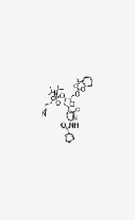 CSc1ccccc1OC(=O)OC[C@H]1O[C@@H](n2ccc(NC(=O)c3ccccc3)nc2=O)C[C@@H]1OP(=O)(OCCC#N)N(C(C)C)C(C)C